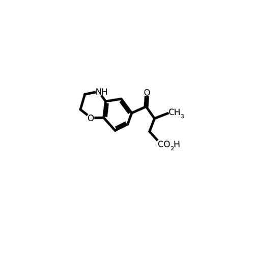 CC(CC(=O)O)C(=O)c1ccc2c(c1)NCCO2